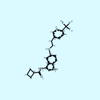 O=C(Nc1c[nH]c2ccc(OCCc3ccc(C(F)(F)F)nc3)cc12)C1CCC1